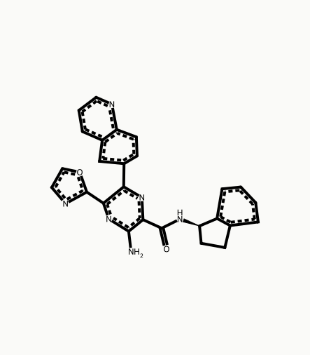 Nc1nc(-c2ncco2)c(-c2ccc3ncccc3c2)nc1C(=O)N[C@@H]1CCc2ccccc21